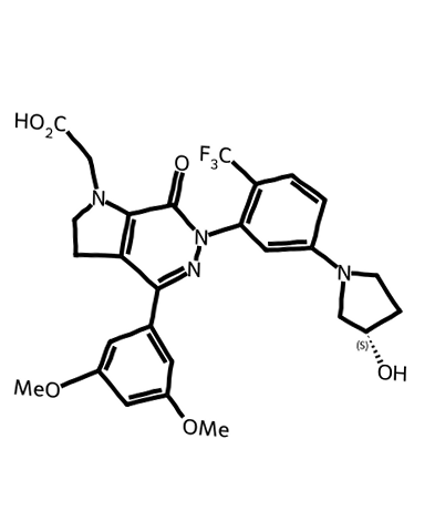 COc1cc(OC)cc(-c2nn(-c3cc(N4CC[C@H](O)C4)ccc3C(F)(F)F)c(=O)c3c2CCN3CC(=O)O)c1